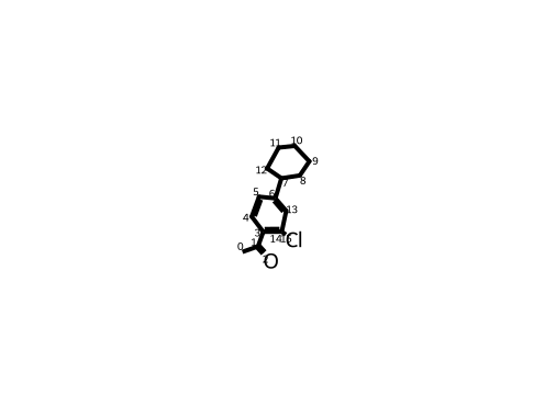 CC(=O)c1ccc(C2CCCCC2)cc1Cl